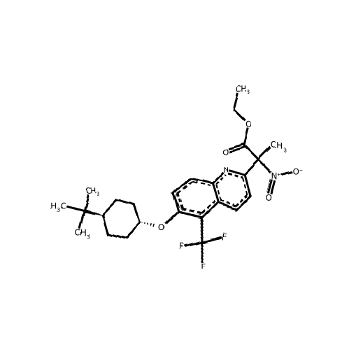 CCOC(=O)C(C)(c1ccc2c(C(F)(F)F)c(O[C@H]3CC[C@H](C(C)(C)C)CC3)ccc2n1)[N+](=O)[O-]